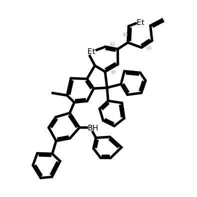 C=C\C=C/C(=C\CC)C(=C/CC)/C=C1\C(C)c2cc(C)c(-c3ccc(-c4ccccc4)cc3Bc3ccccc3)cc2C1(c1ccccc1)c1ccccc1